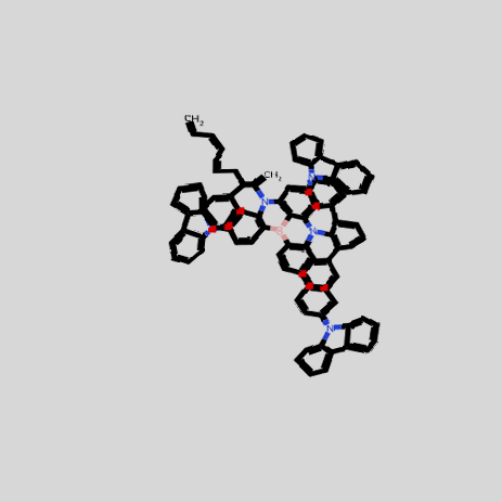 C=C/C=C\C=C/CC(C(=C)N1c2cc(-n3c4ccccc4c4ccccc43)ccc2B2c3ccc(-c4ccc(-n5c6ccccc6c6ccccc65)cc4)cc3N(c3c(-c4ccccc4)cccc3-c3ccccc3)c3cc(-n4c5ccccc5c5ccccc54)cc1c32)c1ccccc1